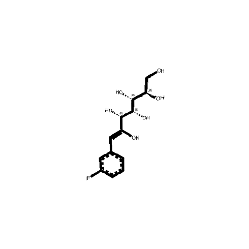 OC[C@@H](O)[C@@H](O)[C@H](O)[C@@H](O)C(O)=Cc1cccc(F)c1